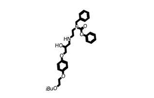 CC(C)COCCOc1ccc(OCC(O)CNCCN(Cc2ccccc2)C(=O)Oc2ccccc2)cc1